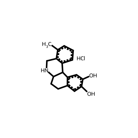 Cc1cccc2c1CNC1CCc3cc(O)c(O)cc3C21.Cl